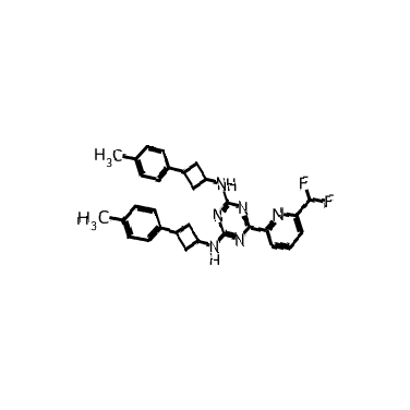 Cc1ccc(C2CC(Nc3nc(NC4CC(c5ccc(C)cc5)C4)nc(-c4cccc(C(F)F)n4)n3)C2)cc1